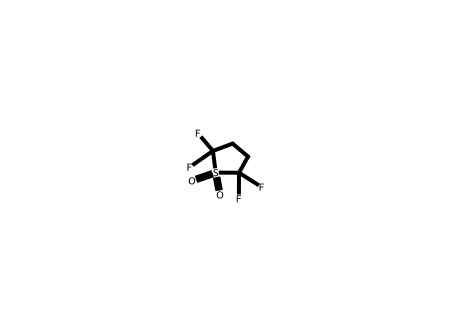 O=S1(=O)C(F)(F)CCC1(F)F